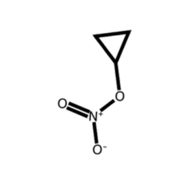 O=[N+]([O-])OC1CC1